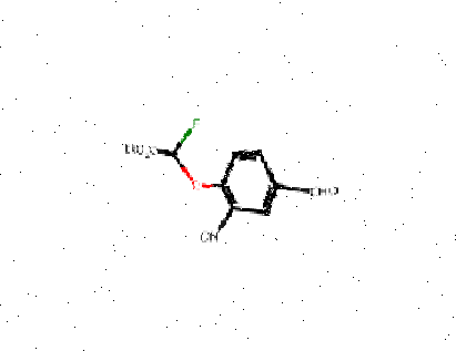 CCOC(=O)C(F)Oc1ccc(C=O)cc1N=O